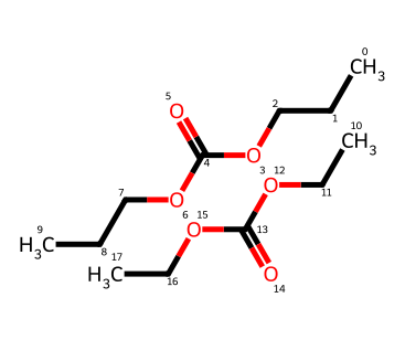 CCCOC(=O)OCCC.CCOC(=O)OCC